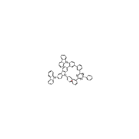 c1ccc(-c2nc(-c3ccccc3)nc(-c3cccc(-c4ccc(-n5c6ccccc6c6ccccc65)c(-c5ccc6c7cc(-n8c9ccccc9c9ccccc98)ccc7n(-c7ccccc7)c6c5)c4)c3)n2)cc1